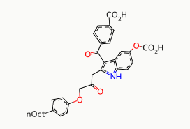 CCCCCCCCc1ccc(OCC(=O)Cc2[nH]c3ccc(OC(=O)O)cc3c2C(=O)c2ccc(C(=O)O)cc2)cc1